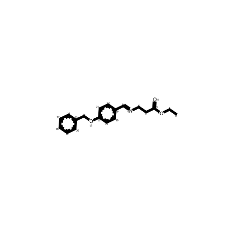 CCOC(=O)CC/N=C/c1ccc(OCc2ccccc2)cc1